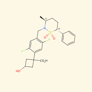 C[C@H]1CC[C@H](c2ccccc2)S(=O)(=O)N1Cc1cc(F)c(C2(C(=O)O)CC(O)C2)cc1F